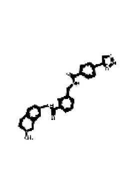 CN1CCc2ccc(NC(=O)c3cccc(CNC(=O)c4ccc(-c5csnn5)cc4)c3)cc2C1